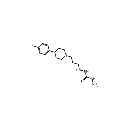 NNC(=O)NNCCCN1CCC(c2ccc(F)cc2)CC1